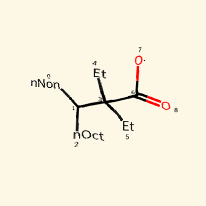 CCCCCCCCCC(CCCCCCCC)C(CC)(CC)C([O])=O